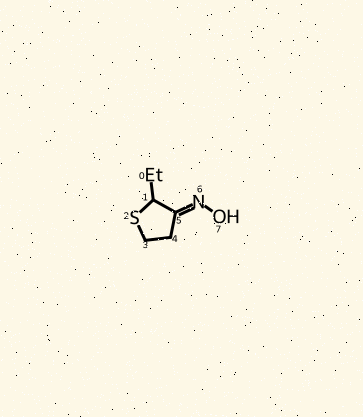 CCC1SCCC1=NO